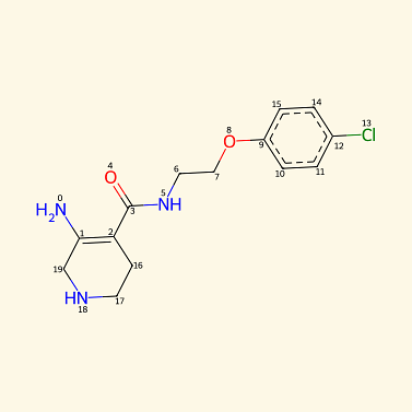 NC1=C(C(=O)NCCOc2ccc(Cl)cc2)CCNC1